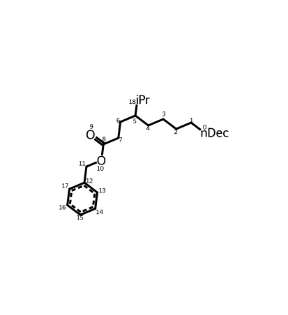 CCCCCCCCCCCCCCC(CCC(=O)OCc1ccccc1)C(C)C